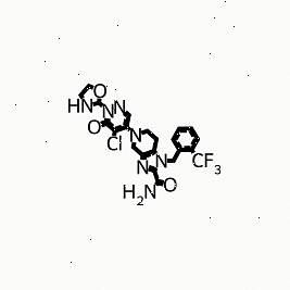 NC(=O)c1nc2c(n1Cc1ccccc1C(F)(F)F)CCN(c1cnn(C3NCCO3)c(=O)c1Cl)C2